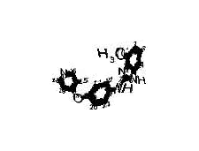 Cc1cccc2[nH]c(Nc3ccc(Oc4ccncc4)cc3)nc12